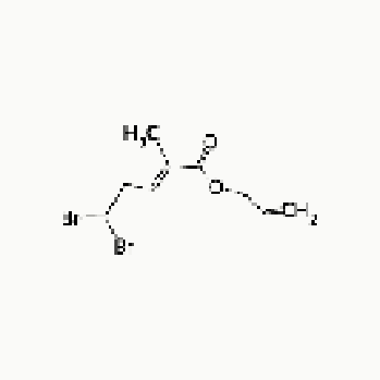 C=CCOC(=O)C(C)=CCC(Br)Br